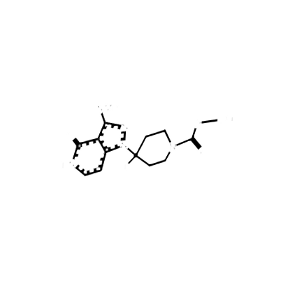 CCC1(n2nc(NC)c3c(=O)[nH]ccc32)CCN(C(=O)OC(C)(C)C)CC1